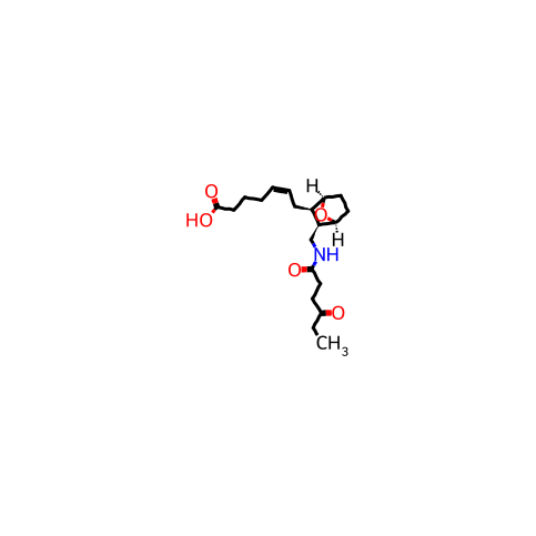 CCC(=O)CCC(=O)NC[C@H]1[C@@H](C/C=C\CCCC(=O)O)[C@H]2CC[C@@H]1O2